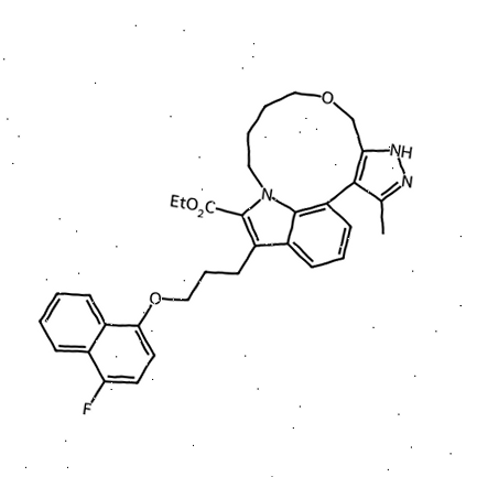 CCOC(=O)c1c(CCCOc2ccc(F)c3ccccc23)c2cccc3c2n1CCCCOCc1[nH]nc(C)c1-3